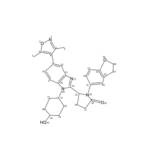 Cc1noc(C)c1-c1ccc2c(c1)nc(C1CCC(=O)N1c1ccc3c(c1)CCO3)n2C1CCC(O)CC1